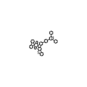 c1ccc(-c2cc(-c3ccc(-c4ccc5c(c4)-c4cc6c(cc4C54c5ccccc5C5(c7ccccc7-c7ccccc75)c5ccccc54)sc4ccccc46)cc3)cc(-c3ccccc3)n2)cc1